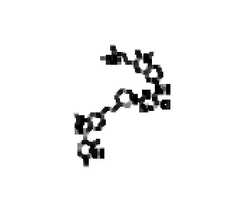 C=C(CCC1=Cc2cc(Nc3nc(N4CCCC(CCc5ccc6c(C7CCC(=C)NC7=C)nn(C)c6c5)C4)ncc3Cl)ccc2N(C)C1=C)NC